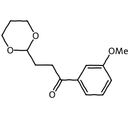 COc1cccc(C(=O)CCC2OCCCO2)c1